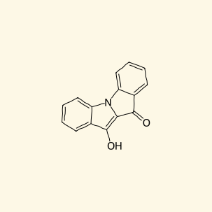 O=C1c2ccccc2-n2c1c(O)c1ccccc12